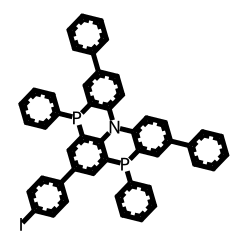 Ic1ccc(-c2cc3c4c(c2)P(c2ccccc2)c2cc(-c5ccccc5)ccc2N4c2ccc(-c4ccccc4)cc2P3c2ccccc2)cc1